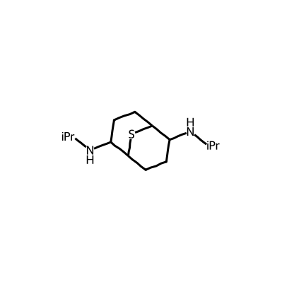 CC(C)NC1CCC2SC1CCC2NC(C)C